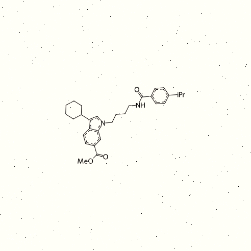 COC(=O)c1ccc2c(C3CCCCC3)cn(CCCCNC(=O)c3ccc(C(C)C)cc3)c2c1